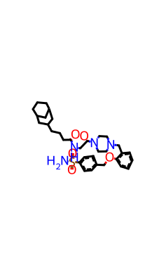 NS(=O)(=O)c1ccc(COc2ccccc2CN2CCN(C(=O)CNC(=O)CCCC3CC4CCCC(C3)C4)CC2)cc1